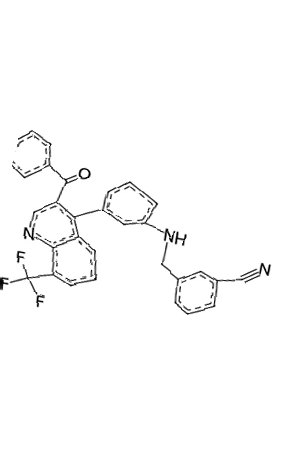 N#Cc1cccc(CNc2cccc(-c3c(C(=O)c4ccccc4)cnc4c(C(F)(F)F)cccc34)c2)c1